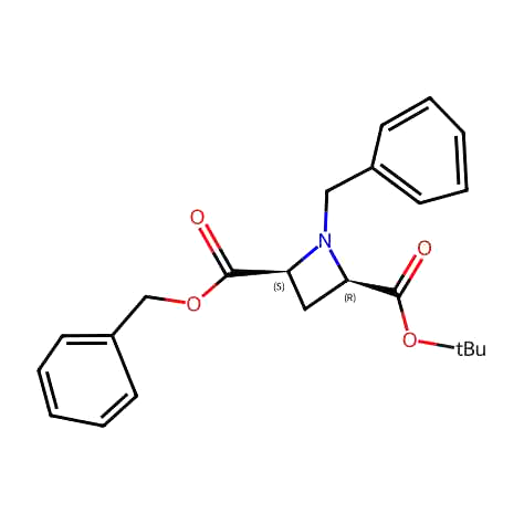 CC(C)(C)OC(=O)[C@H]1C[C@@H](C(=O)OCc2ccccc2)N1Cc1ccccc1